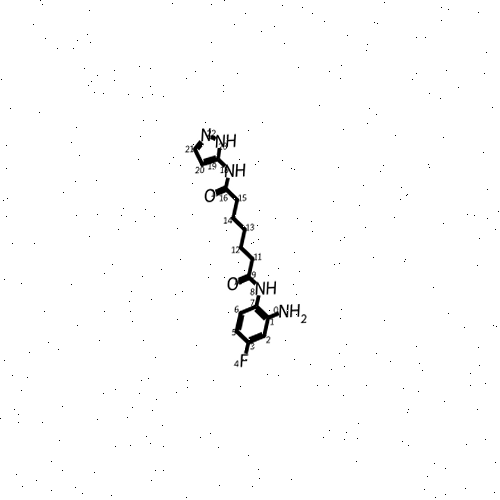 Nc1cc(F)ccc1NC(=O)CCCCCC(=O)Nc1ccn[nH]1